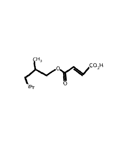 CC(C)CC(C)COC(=O)C=CC(=O)O